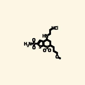 CCCNC1CC(CCCOC)S(=O)(=O)c2sc(S(N)(=O)=O)cc21.Cl